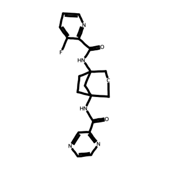 O=C(NC12CCCC(NC(=O)c3ncccc3F)(CC1)C2)c1cnccn1